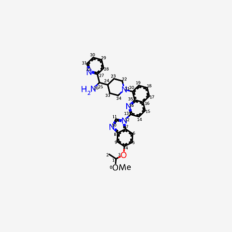 COC(C)Oc1ccc2c(c1)ncn2-c1ccc2cccc(N3CCC(C(N)c4ccccn4)CC3)c2n1